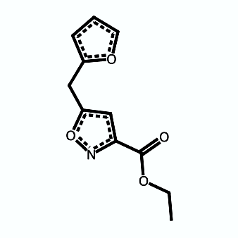 CCOC(=O)c1cc(Cc2ccco2)on1